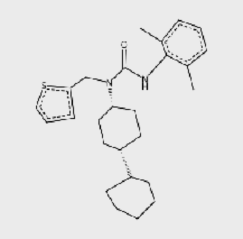 Cc1cccc(C)c1NC(=O)N(Cc1cccs1)[C@H]1CC[C@@H](C2CCCCC2)CC1